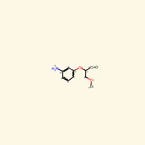 CCOCC(C=O)Oc1cc[c]c(N)c1